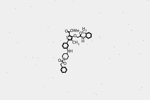 COC(=O)c1sc(-c2cccc(NC3CCN(S(=O)(=O)Cc4ccccc4)CC3)c2)c(C)c1OCC(=O)Nc1ccccc1C